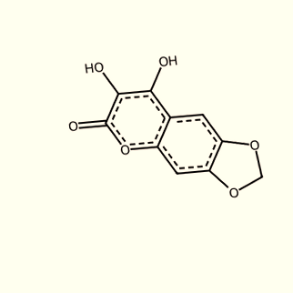 O=c1oc2cc3c(cc2c(O)c1O)OCO3